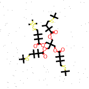 CC(CSC(C)(C)C)C(C)(C)C(=O)OCC(COC(=O)C(C)(C)C(C)(C)CSC(C)(C)C)(COC(=O)C(C)(C)C(C)(C)CSC(C)(C)C)COC(=O)C(C)(C)C(C)(C)CSS(C)(C)C